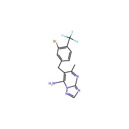 Cc1nc2ncnn2c(N)c1Cc1ccc(C(F)(F)F)c(Br)c1